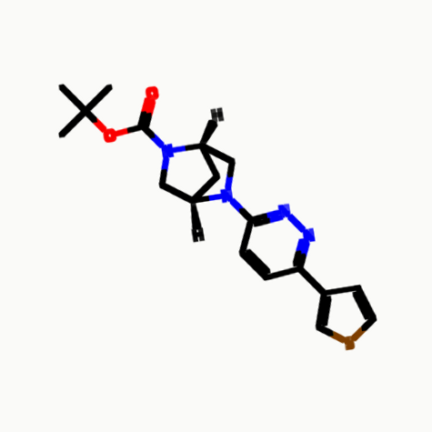 CC(C)(C)OC(=O)N1C[C@@H]2C[C@H]1CN2c1ccc(-c2ccsc2)nn1